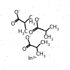 CC(C)C(=O)[O-].CC(C)C(=O)[O-].CC(C)C(=O)[O-].[In+3]